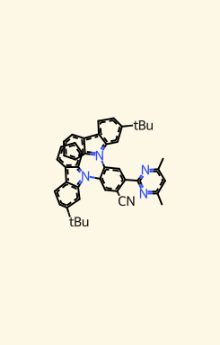 Cc1cc(C)nc(-c2cc(-n3c4ccccc4c4ccc(C(C)(C)C)cc43)c(-n3c4ccccc4c4ccc(C(C)(C)C)cc43)cc2C#N)n1